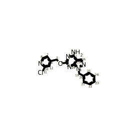 Nc1nc(OCc2ccnc(Cl)c2)nc2c1cnn2Cc1ccccc1